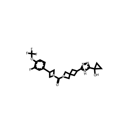 O=C(N1CC(c2ccc(OC(F)(F)F)c(F)c2)C1)N1CC2(CC(c3nnc(C4(O)CC4)[nH]3)C2)C1